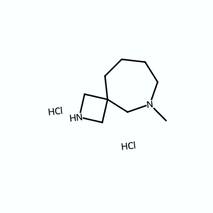 CN1CCCCC2(CNC2)C1.Cl.Cl